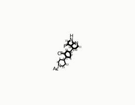 CC(=O)N1CCC(c2ccc(-c3ccnc4[nH]cc(F)c34)cc2Cl)CC1